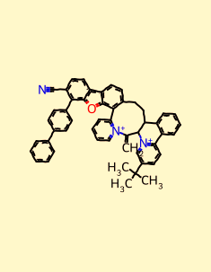 C=C1C2C(CCc3ccc4c(oc5c(-c6ccc(-c7ccccc7)cc6)c(C#N)ccc54)c3-c3cccc[n+]31)c1ccccc1-c1ccc(C(C)(C)C)c[n+]12